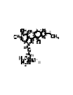 CCc1nc2ccc(-c3cn(COCC[Si](C)(C)C)c4nc(Cl)n(C)c(=O)c34)c(Cl)c2s1